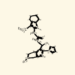 CCOC(=O)c1c(NC(=O)NC(C)c2c(-n3cccc3)sc3c2CCN(CC)C3)sc2c1CCCC2